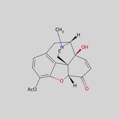 CC(=O)Oc1ccc2c3c1O[C@H]1C(=O)C=C[C@@]4(O)[C@@H](C2)N(C)CC[C@]314